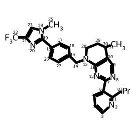 CC(C)c1ncccc1-c1ncc2c(n1)N(Cc1ccc(-c3nc(C(F)(F)F)cn3C)cc1)CCC2C